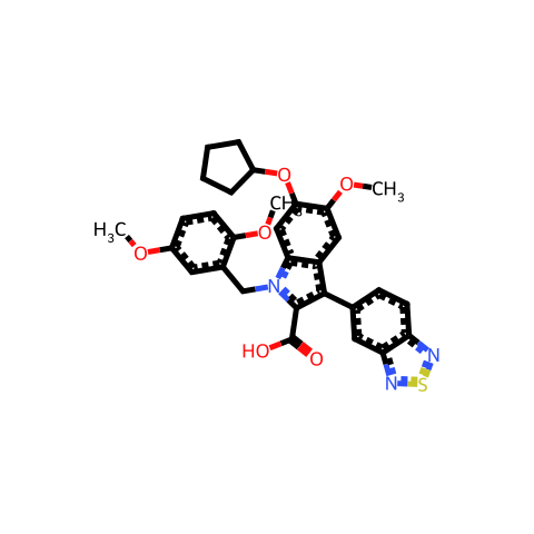 COc1ccc(OC)c(Cn2c(C(=O)O)c(-c3ccc4nsnc4c3)c3cc(OC)c(OC4CCCC4)cc32)c1